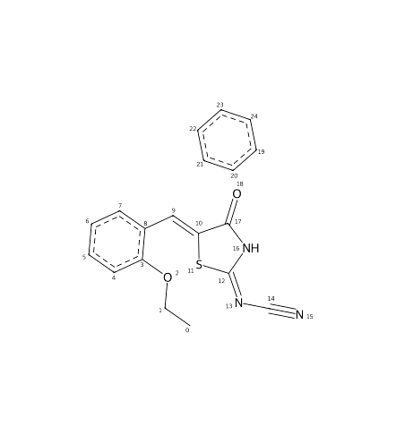 CCOc1ccccc1C=C1SC(=NC#N)NC1=O.c1ccccc1